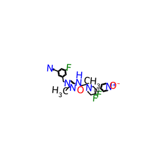 Cc1nc(NC(=O)C(C)N2CCC(F)(F)[C@@H](c3cc[n+]([O-])cc3)C2)cn1Cc1cc(F)cc(C#N)c1